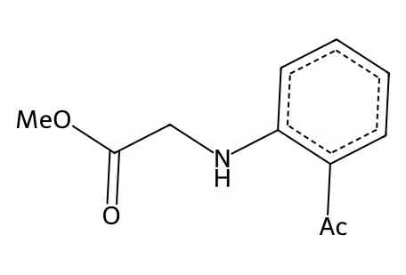 COC(=O)CNc1ccccc1C(C)=O